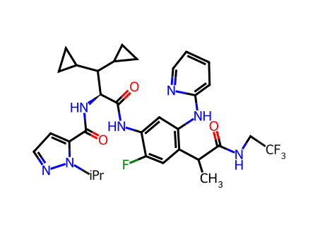 CC(C(=O)NCC(F)(F)F)c1cc(F)c(NC(=O)[C@@H](NC(=O)c2ccnn2C(C)C)C(C2CC2)C2CC2)cc1Nc1ccccn1